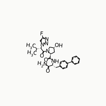 CC(C)[C@@H](C(=O)N1C[C@H](O)C[C@H]1C(=O)N[C@H](Cc1ccc(-c2ccccc2)cc1)C(N)=O)n1cc(F)nn1